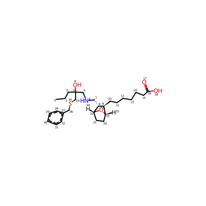 CCCC(O)(CNC[C@@H]1[C@@H](CCCCCCC(=O)O)[C@@H]2CC[C@H]1O2)CSCc1ccccc1